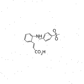 CS(=O)(=O)c1ccc(CNc2ccccc2/C=C/C(=O)O)cc1